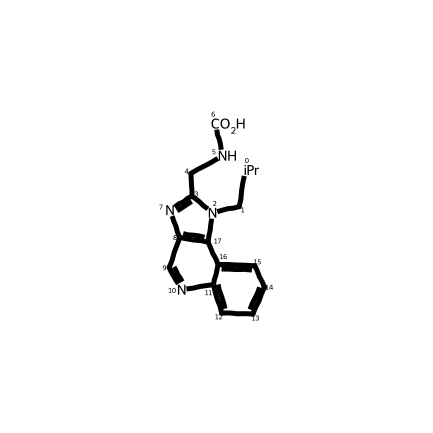 CC(C)Cn1c(CNC(=O)O)nc2cnc3ccccc3c21